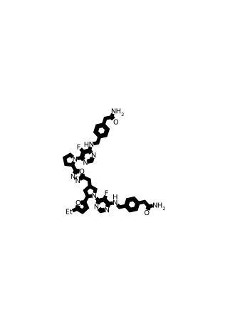 CCc1ccc(C2CC(Cc3nnc(C4CCCN4c4ncnc(NCc5ccc(CC(N)=O)cc5)c4F)o3)CN2c2ncnc(NCc3ccc(CC(N)=O)cc3)c2F)o1